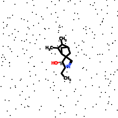 CCC[C@H](O)C1(C=N)CC2CC1C(C)C2C